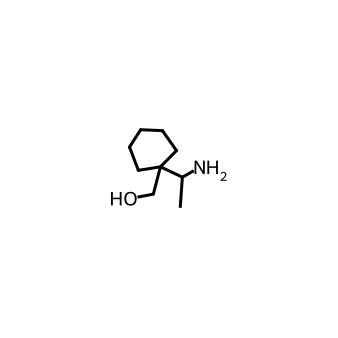 CC(N)C1(CO)CCCCC1